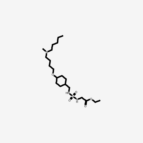 CCCCCN(C)CCCCOC1CCC(CNS(=O)(=O)NCC(=O)OCC)CC1